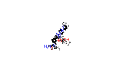 Cc1cccc(N2CCN(c3ncc(-c4cccc(CN(C)CC(N)=O)c4)cn3)CC2)n1.O=C(O)C(O)C(O)C(=O)O